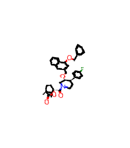 CC1(C)[C@@]2(C)CC[C@@]1(C(=O)N1CC[C@H](c3ccc(F)cc3)[C@@H](OCc3cc(OCc4ccccc4)c4ccccc4c3)C1)OC2=O